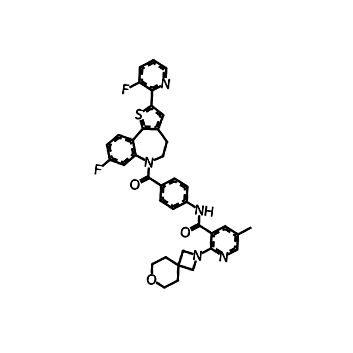 Cc1cnc(N2CC3(CCOCC3)C2)c(C(=O)Nc2ccc(C(=O)N3CCc4cc(-c5ncccc5F)sc4-c4ccc(F)cc43)cc2)c1